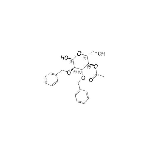 CC(=O)O[C@H]1[C@H](OCc2ccccc2)[C@@H](OCc2ccccc2)[C@@H](O)O[C@@H]1CO